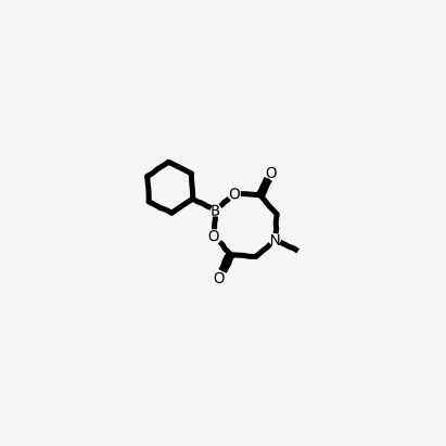 CN1CC(=O)OB(C2CCCCC2)OC(=O)C1